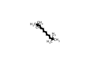 CC(C)(C)CCCCCCCCC(C)(C)C